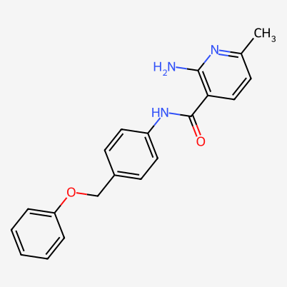 Cc1ccc(C(=O)Nc2ccc(COc3ccccc3)cc2)c(N)n1